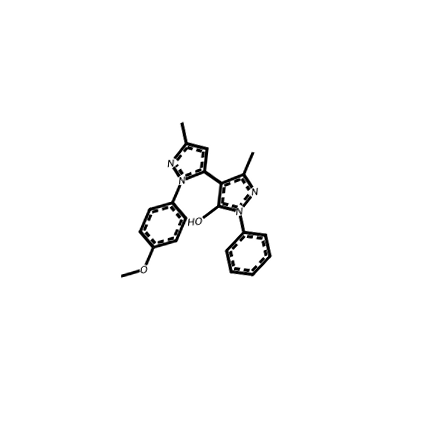 COc1ccc(-n2nc(C)cc2-c2c(C)nn(-c3ccccc3)c2O)cc1